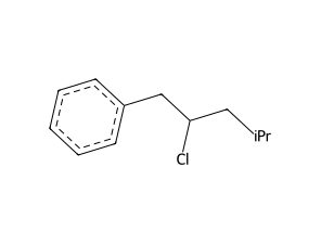 CC(C)CC(Cl)Cc1ccccc1